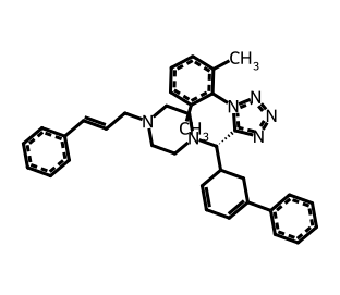 Cc1cccc(C)c1-n1nnnc1[C@H](C1C=CC=C(c2ccccc2)C1)N1CCN(C/C=C/c2ccccc2)CC1